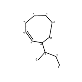 [CH2]C(CC)C1/C=C\CCCCC1